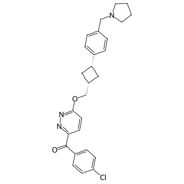 O=C(c1ccc(Cl)cc1)c1ccc(OC[C@H]2C[C@@H](c3ccc(CN4CCCC4)cc3)C2)nn1